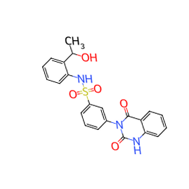 CC(O)c1ccccc1NS(=O)(=O)c1cccc(-n2c(=O)[nH]c3ccccc3c2=O)c1